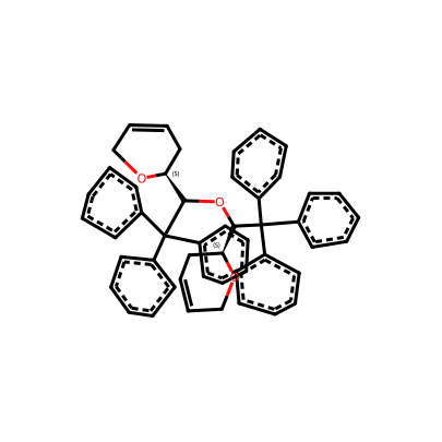 C1=CC[C@@H](C(OC([C@@H]2CC=CCO2)C(c2ccccc2)(c2ccccc2)c2ccccc2)C(c2ccccc2)(c2ccccc2)c2ccccc2)OC1